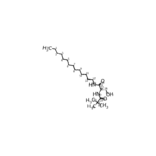 CCCCCCCCCCCCCCNC(=O)[C@H](CO)NC(=O)C(C)(C)C